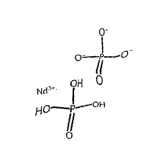 O=P(O)(O)O.O=P([O-])([O-])[O-].[Nd+3]